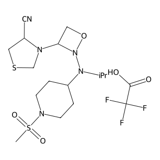 CC(C)N(C1CCN(S(C)(=O)=O)CC1)N1OCC1N1CSCC1C#N.O=C(O)C(F)(F)F